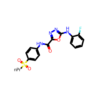 CCCS(=O)(=O)c1ccc(NC(=O)c2nnc(Nc3ccccc3F)o2)cc1